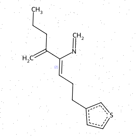 C=N/C(=C\CCc1ccsc1)C(=C)CCC